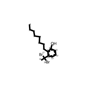 CCCCCCCCc1c(O)cccc1C(C)(Br)Br